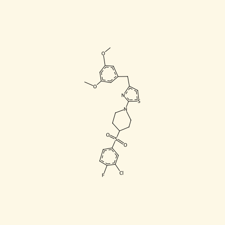 COc1cc(Cc2csc(N3CCC(S(=O)(=O)c4ccc(F)c(Cl)c4)CC3)n2)cc(OC)c1